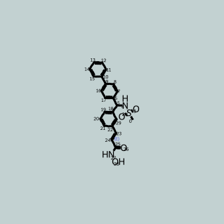 CS(=O)(=O)NC(c1ccc(-c2ccccc2)cc1)c1cccc(/C=C/C(=O)NO)c1